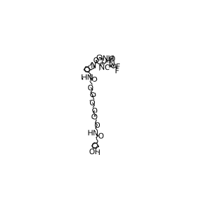 N#C[C@@H]1CC(F)(F)CN1C(=O)[C@H]1C[C@@H](CC(=O)N2Cc3cccc(CNC(=O)CCOCCOCCOCCOCCOCCOCCNC(=O)CCc4ccc(O)cc4)c3C2)C(=O)N1